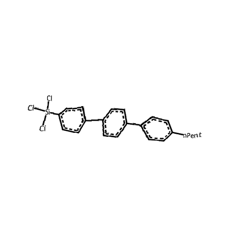 CCCCCc1ccc(-c2ccc(-c3ccc([Si](Cl)(Cl)Cl)cc3)cc2)cc1